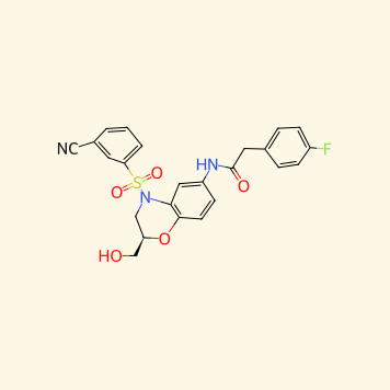 N#Cc1cccc(S(=O)(=O)N2C[C@H](CO)Oc3ccc(NC(=O)Cc4ccc(F)cc4)cc32)c1